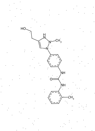 Cc1ccccc1NC(=O)Nc1ccc(N2C=C(CCO)NN2C)cc1